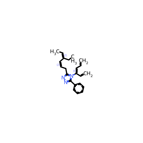 C=C/C=C(\C=C)n1c(C/C=C\C(=C/C)CC)nnc1-c1ccccc1